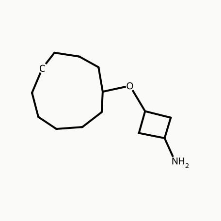 NC1CC(OC2CCCCCCCCC2)C1